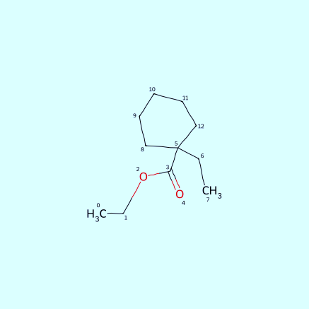 CCOC(=O)C1(CC)CCCCC1